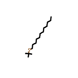 CCCCCCCCCCCCSC(C)(C)C